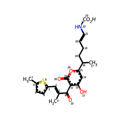 CC(=Cc1ccc(C)s1)C(=O)c1c(O)cc(C(C)CCC=CNC(=O)O)oc1=O